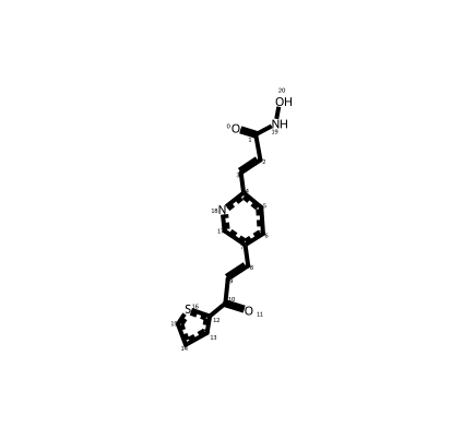 O=C(C=Cc1ccc(C=CC(=O)c2cccs2)cn1)NO